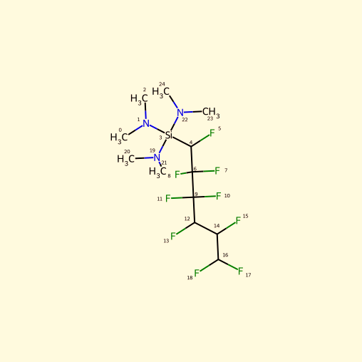 CN(C)[Si](C(F)C(F)(F)C(F)(F)C(F)C(F)C(F)F)(N(C)C)N(C)C